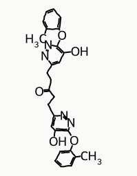 Cc1ccccc1Oc1nnc(CCC(=O)CCc2cc(O)c(Oc3ccccc3C)nn2)cc1O